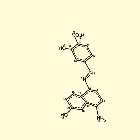 Nc1ccc(/N=N/c2ccc(C(=O)O)c(O)c2)c2ccc(O)cc12